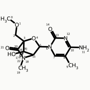 COCC12OC(n3cc(C)c(N)nc3=O)C([C@H]1O)N(C)C2=O